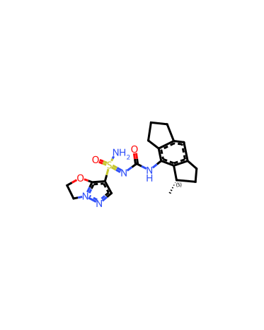 C[C@H]1CCc2cc3c(c(NC(=O)N=S(N)(=O)c4cnn5c4OCC5)c21)CCC3